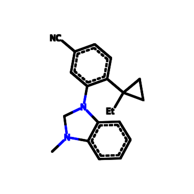 CCC1(c2ccc(C#N)cc2N2CN(C)c3ccccc32)CC1